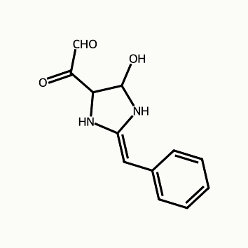 O=CC(=O)C1NC(=Cc2ccccc2)NC1O